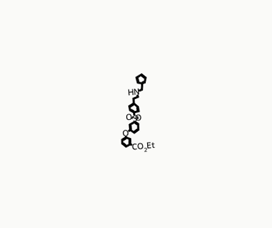 CCOC(=O)c1cccc(Oc2cccc(S(=O)(=O)c3ccc(CCNCc4ccccc4)cc3)c2)c1